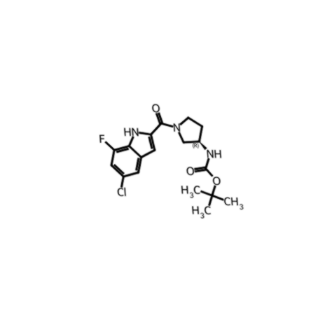 CC(C)(C)OC(=O)N[C@@H]1CCN(C(=O)c2cc3cc(Cl)cc(F)c3[nH]2)C1